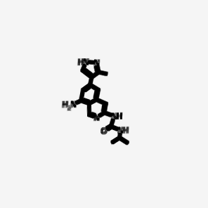 Cc1n[nH]cc1-c1cc(N)c2cnc(NC(=O)NC(C)C)cc2c1